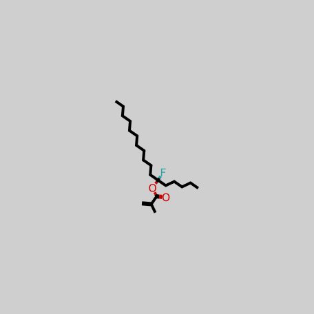 C=C(C)C(=O)OC(F)(CCCCC)CCCCCCCCCCC